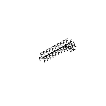 CN(C)[Si](N(C)C)(N(C)C)C(F)(F)C(F)(F)C(F)(F)C(F)(F)C(F)(F)C(F)(F)C(F)(F)C(F)(F)C(F)(F)C(F)(F)F